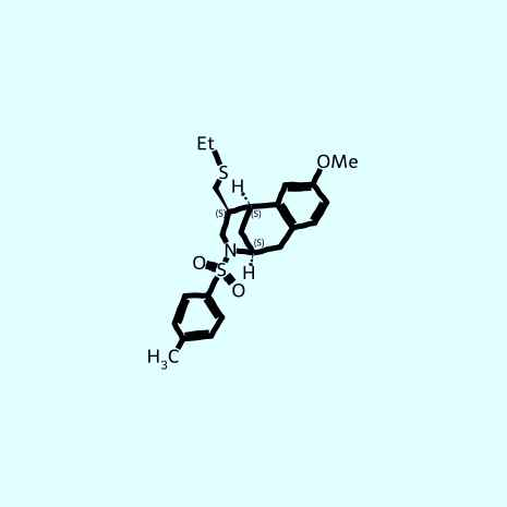 CCSC[C@@H]1CN(S(=O)(=O)c2ccc(C)cc2)[C@@H]2Cc3ccc(OC)cc3[C@H]1C2